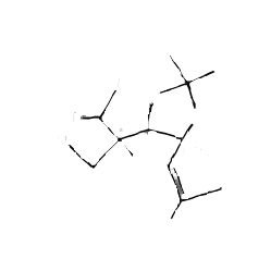 CC(C)=C[C@]1(C)OC(C)(C)O[C@@H]1[C@](O)(CO)C(F)F